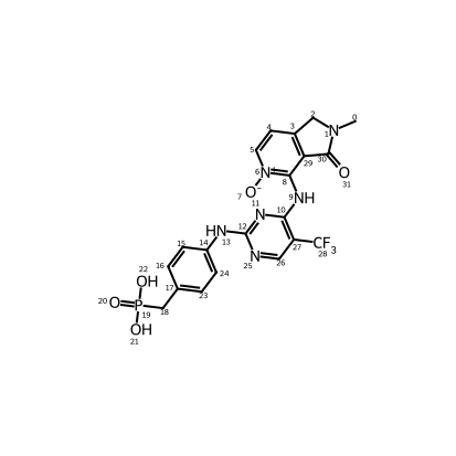 CN1Cc2cc[n+]([O-])c(Nc3nc(Nc4ccc(CP(=O)(O)O)cc4)ncc3C(F)(F)F)c2C1=O